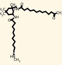 CNCCCCCCCCCCCC(=O)NC1CC(C)(C)CC(C)(CNC(=O)CCCCCCCCCCC(C)=O)C1